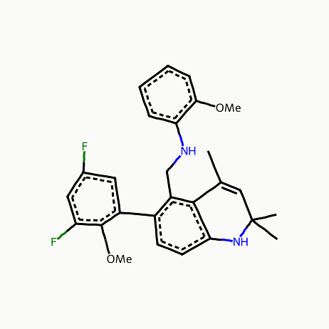 COc1ccccc1NCc1c(-c2cc(F)cc(F)c2OC)ccc2c1C(C)=CC(C)(C)N2